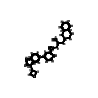 OC(CNc1cc(-c2ccc3ncn(C4COC4)c3c2)ccn1)CN1CCc2ccccc2C1